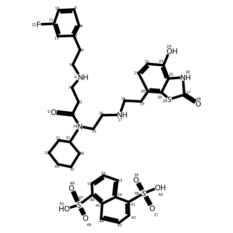 O=C(CCNCCc1cccc(F)c1)N(CCNCCc1ccc(O)c2[nH]c(=O)sc12)C1CCCCC1.O=S(=O)(O)c1cccc2c(S(=O)(=O)O)cccc12